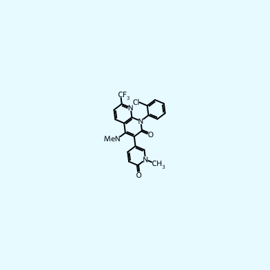 CNc1c(-c2ccc(=O)n(C)c2)c(=O)n(-c2ccccc2Cl)c2nc(C(F)(F)F)ccc12